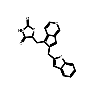 O=C1NC(=O)C(Cc2c(Cc3cc4ccccc4s3)cc3coccc2-3)S1